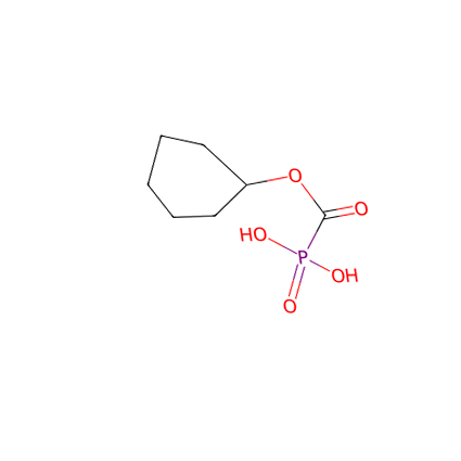 O=C(OC1CCCCC1)P(=O)(O)O